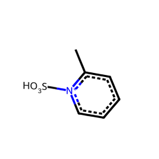 Cc1cccc[n+]1S(=O)(=O)O